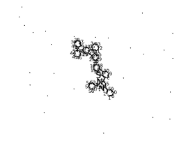 c1ccc(-c2cc(-c3cccc4c3sc3ccc(-c5ccc6c(c5)-c5cc7c(cc5C65CCCCC5)-c5ccccc5C75CCCCC5)cc34)nc(-c3ccccc3)n2)cc1